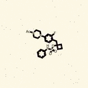 CC(=O)N1CCN(c2ccc(CC3(OS(=O)(=O)Nc4ccccc4)CCC3)c(F)c2)CC1